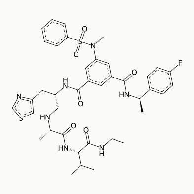 CCNC(=O)[C@@H](NC(=O)[C@H](C)NC[C@H](Cc1cscn1)NC(=O)c1cc(C(=O)N[C@H](C)c2ccc(F)cc2)cc(N(C)S(=O)(=O)c2ccccc2)c1)C(C)C